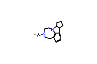 CN1CCc2cccc3c2N(CC1)C1CCCC31